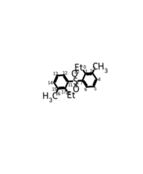 CCc1c(C)cccc1S(=O)(=O)c1cccc(C)c1CC